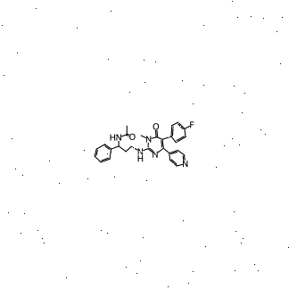 CC(=O)NC(CCNc1nc(-c2ccncc2)c(-c2ccc(F)cc2)c(=O)n1C)c1ccccc1